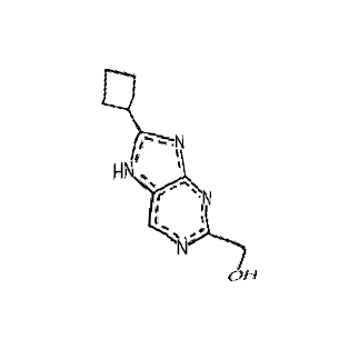 OCc1ncc2[nH]c(C3CCC3)nc2n1